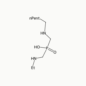 CCCCCCNCP(=O)(O)CNCC